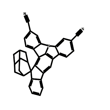 N#Cc1ccc2c3cc4c(c5c6ccc(C#N)cc6n(c2c1)c35)C1(c2ccccc2-4)C2CC3CC(C2)CC1C3